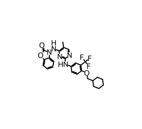 Cc1cnc(Nc2ccc(OCC3CCCCC3)c(C(F)(F)F)c2)nc1Nn1c(=O)oc2ccccc21